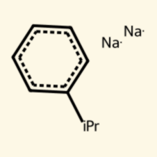 CC(C)c1ccccc1.[Na].[Na]